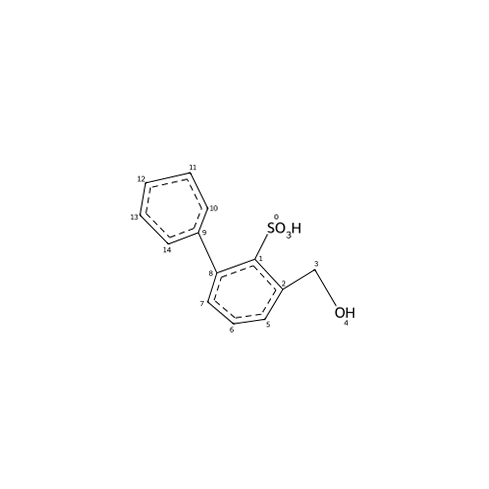 O=S(=O)(O)c1c(CO)cccc1-c1ccccc1